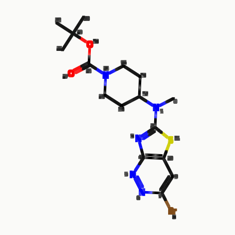 CN(c1nc2nnc(Br)cc2s1)C1CCN(C(=O)OC(C)(C)C)CC1